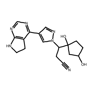 N#CCC(n1cc(-c2ncnc3c2CCN3)cn1)C1(O)CCC(O)C1